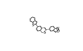 C1=C(c2ccc3nocc3c2)SCc2ccc(-c3cc4ccccc4s3)cc21